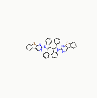 c1ccc(-c2c(-c3c(-c4ccccc4)n(-c4ncc5c(n4)sc4ccccc45)c4ccccc34)c3ccccc3n2-c2ncc3c(n2)sc2ccccc23)cc1